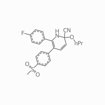 CCCOC1(C#N)C=CC(c2ccc(S(C)(=O)=O)cc2)=C(c2ccc(F)cc2)N1